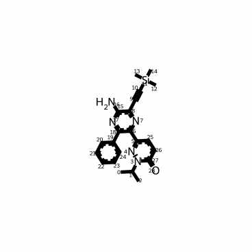 CC(C)n1nc(-c2nc(C#C[Si](C)(C)C)c(N)nc2-c2ccccc2)ccc1=O